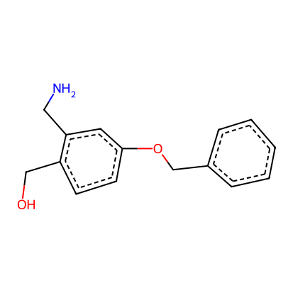 NCc1cc(OCc2ccccc2)ccc1CO